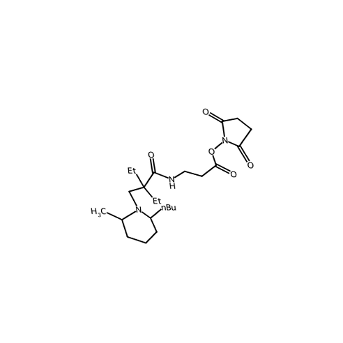 CCCCC1CCCC(C)N1CC(CC)(CC)C(=O)NCCC(=O)ON1C(=O)CCC1=O